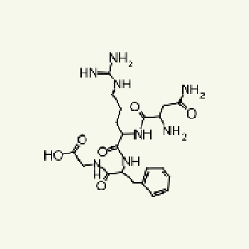 N=C(N)NCCCC(NC(=O)C(N)CC(N)=O)C(=O)NC(Cc1ccccc1)C(=O)NCC(=O)O